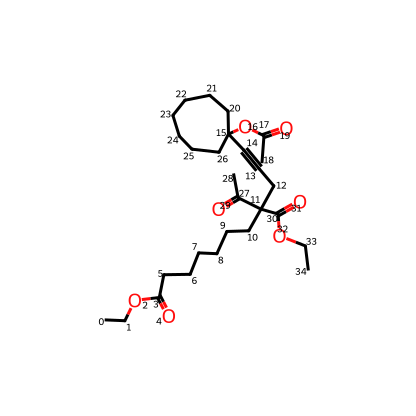 CCOC(=O)CCCCCCC(CC#CC1(OC(C)=O)CCCCCCC1)(C(C)=O)C(=O)OCC